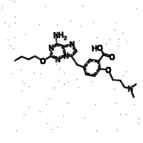 CCCCOc1nc(N)c2ncc(Cc3ccc(OCCCN(C)C)c(C(=O)O)c3)n2n1